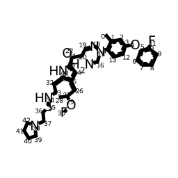 Cc1cc(Oc2ccccc2F)ccc1N(CN)/N=C\CC(=O)c1cc(=C/C(C)OF)/c(=C\CNSCCN2CCCC2)[nH]1